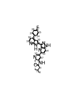 CC(C)CC(=O)Nc1cncc(-c2ccc3[nH]nc(-c4cc5c(-c6ccc(F)cc6)ccnc5[nH]4)c3n2)c1